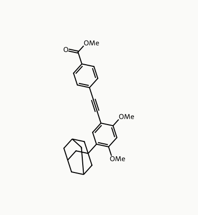 COC(=O)c1ccc(C#Cc2cc(C34CC5CC(CC(C5)C3)C4)c(OC)cc2OC)cc1